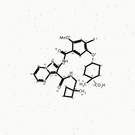 COc1cc(F)c(O[C@H]2CC[C@@](C)(C(=O)O)CC2)cc1C(=O)Nc1nn2cccnc2c1C(=O)NCC1(C)CCC1